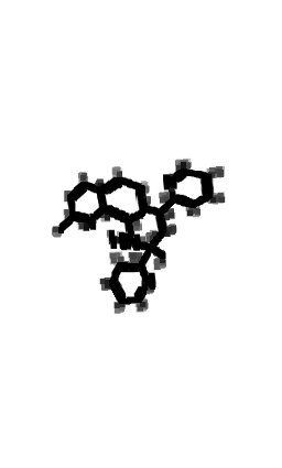 Cc1ccc2ccc3c(c2n1)NC(C)(c1ccccn1)C=C3c1ccccn1